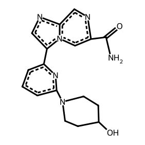 NC(=O)c1cn2c(-c3cccc(N4CCC(O)CC4)n3)cnc2cn1